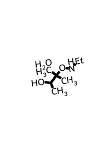 CCNOC(C)(C)C(C)O.O